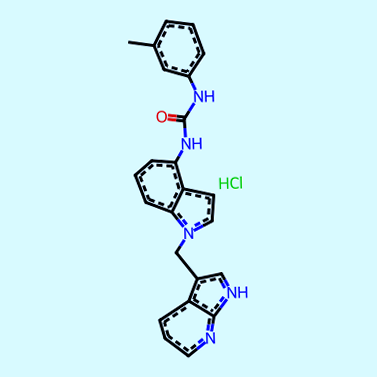 Cc1cccc(NC(=O)Nc2cccc3c2ccn3Cc2c[nH]c3ncccc23)c1.Cl